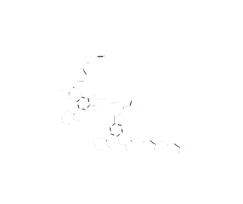 COC(=O)[C@H](CCCN1Cc2cc([C@H]3CCCCN3C(=O)O)c3c(c2C1)OC(C)(CC/C=C(\C)CCC=C(C)C)[C@@H](O)C3)N1Cc2cc([C@H]3CCCCN3C(=O)O)c3c(c2C1)OC(C)(CC/C=C(\C)CCC=C(C)C)C(O)C3